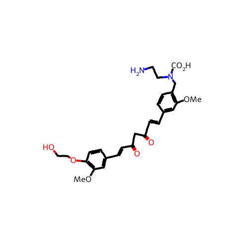 COc1cc(C=CC(=O)CC(=O)C=Cc2ccc(OCCO)c(OC)c2)ccc1CN(CCN)C(=O)O